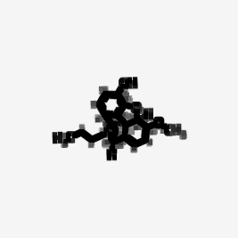 CCCN1CC[C@@]23C4=CC=C(OC)[C@@H]2Oc2c(O)ccc(c23)C[C@H]41